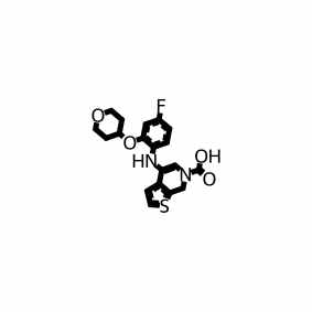 O=C(O)N1C=C(Nc2ccc(F)cc2OC2CCOCC2)c2ccsc2C1